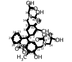 CC1=C/C(=C(\c2cc(C)c(O)c(CN(CC(=O)O)C(=O)O)c2)c2ccccc2S(=O)(=O)O)C=C(CN(CC(=O)O)C(=O)O)C1=O